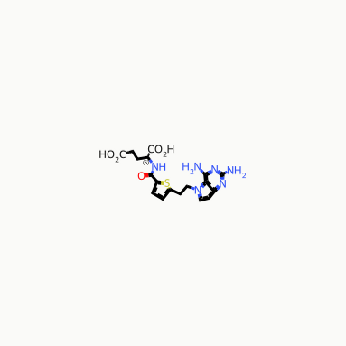 Nc1nc(N)c2c(ccn2CCc2ccc(C(=O)N[C@@H](CCC(=O)O)C(=O)O)s2)n1